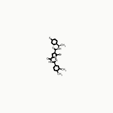 Cc1ccc(-c2nn3c(Br)c(C(=O)N[C@H](C)c4ccc(F)cc4)cc3c(=O)[nH]2)cc1C